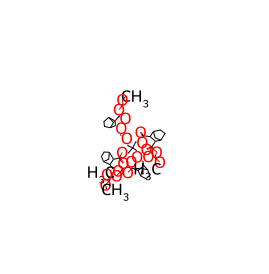 COCOC(=O)C1C2CCC(C2)C1OCOCC(COC(=O)C1C2CCC(C2)C1C(=O)OCOC)(COC(=O)C1C2CCC(C2)C1C(=O)OCOC)COC(=O)C1C2CCC(C2)C1C(=O)OCOC